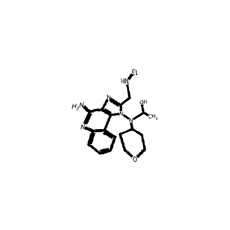 CCNCc1nc2c(N)nc3ccccc3c2n1N(C(C)O)C1CCOCC1